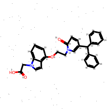 O=C(O)Cn1ccc2c(OCCn3cc(C(c4ccccc4)c4ccccc4)ccc3=O)cccc21